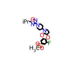 CC(C)c1nc(N2CCC(N3CCC(Oc4ccc(S(C)(=O)=O)cc4F)C3=O)CC2)no1